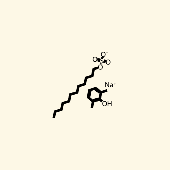 CCCCCCCCCCCCOS(=O)(=O)[O-].Cc1cccc(C)c1O.[Na+]